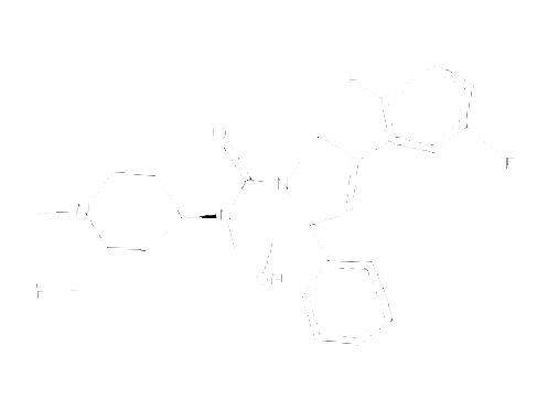 CN1CC[C@@H](N(C)C(=O)N2CC(c3cc(F)ccc3F)=C[C@@]2(CO)c2ccccc2)C[C@@H]1CF